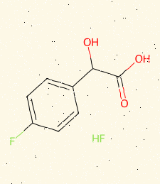 F.O=C(O)C(O)c1ccc(F)cc1